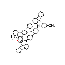 Cc1ccc(N(c2ccc3c(c2)C2(c4ccccc4-c4cc5c6ccccc6c6ccccc6c5cc42)c2cc(N(c4ccc(C)cc4)c4cccc5c4oc4ccccc45)ccc2-3)c2cccc3c2oc2ccccc23)cc1